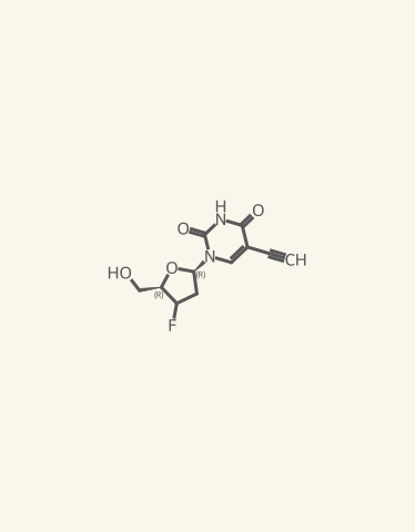 C#Cc1cn([C@H]2CC(F)[C@@H](CO)O2)c(=O)[nH]c1=O